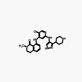 CN1CCc2cccc(Nc3cc(Nc4c[nH]nc4C4CCNCC4)ncc3Cl)c2C1=O